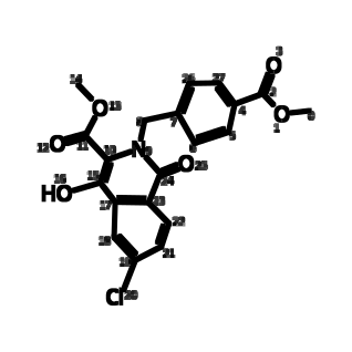 COC(=O)c1ccc(Cn2c(C(=O)OC)c(O)c3cc(Cl)ccc3c2=O)cc1